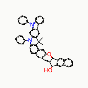 CC1(C)c2cc3c4ccccc4n(-c4ccccc4)c3cc2N(c2ccccc2)c2ccc3cc(/C=C4\C(=O)c5cc6ccccc6cc5C4O)ccc3c21